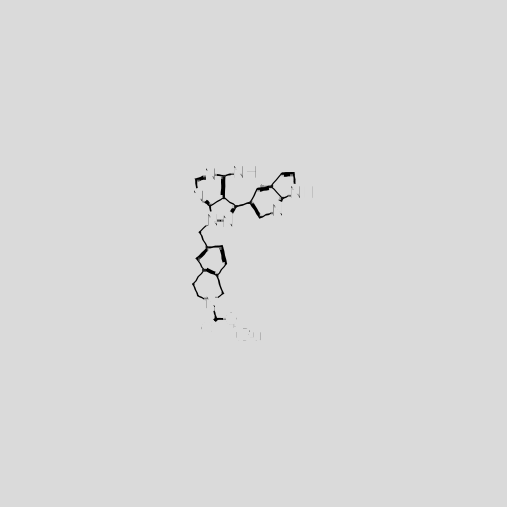 CC(C)(C)OC(=O)N1CCc2cc(Cn3nc(-c4cnc5[nH]ccc5c4)c4c(N)ncnc43)ccc2C1